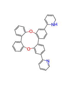 C1=CCNC(c2ccc3c(c2)Oc2ccccc2-c2ccccc2Oc2cc(-c4ccccn4)ccc2-3)=C1